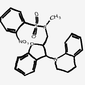 CN(CC1Oc2ccccc2C1N1CCCc2ccccc21)S(=O)(=O)c1ccccc1[N+](=O)[O-]